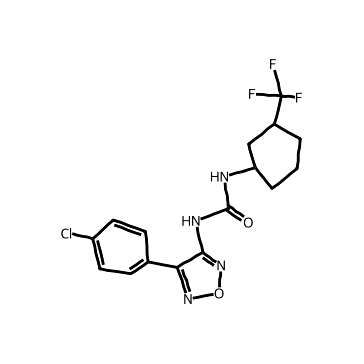 O=C(Nc1nonc1-c1ccc(Cl)cc1)NC1CCCC(C(F)(F)F)C1